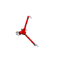 CCCCCCCCCCCCCCCCCCCCCCCC#CCCc1ccccc1C(=C(CCCC)C(=C=[N+]=[N-])CCCC)c1ccccc1CCC#CCCCCCCCCCCCCCCCCCCCCCCCC.C[O][Ni][O]C